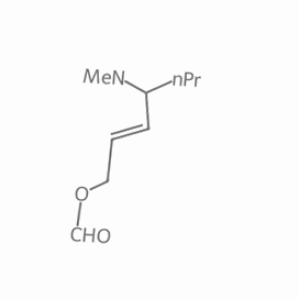 CCCC(/C=C/COC=O)NC